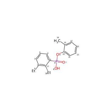 CCc1cccc(P(=O)(O)Oc2ccccc2C)c1CC